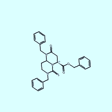 O=C(OCc1ccccc1)[C@@H]1CC(=O)N(Cc2ccccc2)C2CCN(Cc3ccccc3)C(=S)N21